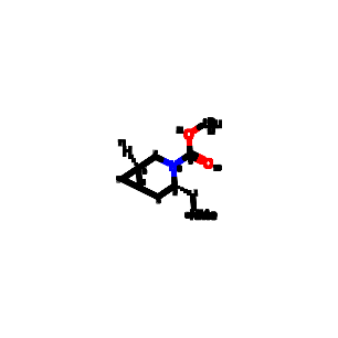 CNC[C@@H]1CC2C[C@H]2CN1C(=O)OC(C)(C)C